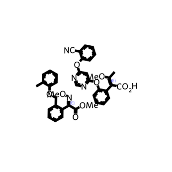 CO/C(C)=C(/C(=O)O)c1ccccc1Oc1cc(Oc2ccccc2C#N)ncn1.CO/N=C(/C(=O)OC)c1ccccc1COc1ccccc1C